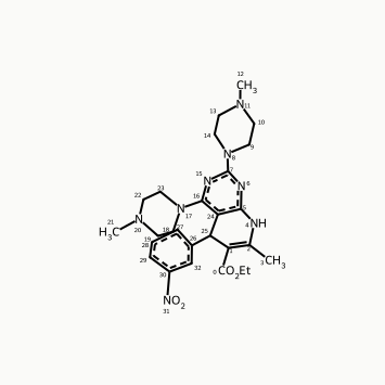 CCOC(=O)C1=C(C)Nc2nc(N3CCN(C)CC3)nc(N3CCN(C)CC3)c2C1c1cccc([N+](=O)[O-])c1